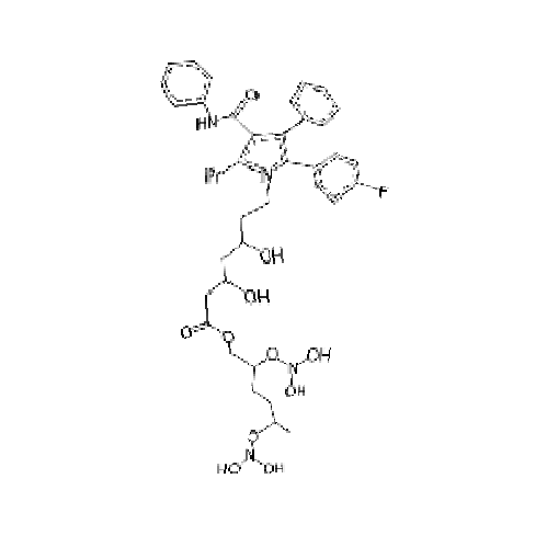 CC(CCC(COC(=O)CC(O)CC(O)CCn1c(-c2ccc(F)cc2)c(-c2ccccc2)c(C(=O)Nc2ccccc2)c1C(C)C)ON(O)O)ON(O)O